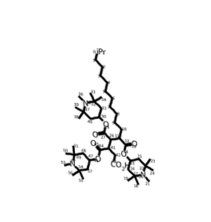 CC(C)CCCCCCCCCCC(C(=O)OC1CC(C)(C)N(C)C(C)(C)C1)C(C(=O)OC1CC(C)(C)N(C)C(C)(C)C1)C(CC(=O)O)C(=O)OC1CC(C)(C)N(C)C(C)(C)C1